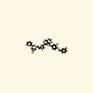 O=S(=O)=CN(CCc1ccccn1)CCc1nc(-c2cc3c(Nc4ccc(OCc5cccc(F)c5)c(Cl)c4)ncnc3cn2)cs1